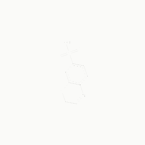 O=S(=O)(O)c1ccc2c(c1)SCC=N2